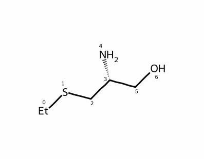 CCSC[C@H](N)CO